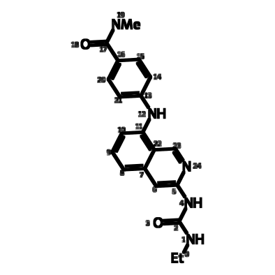 CCNC(=O)Nc1cc2cccc(Nc3ccc(C(=O)NC)cc3)c2cn1